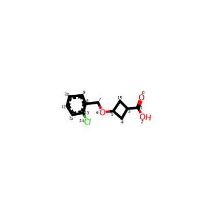 O=C(O)C1CC(OCc2ccccc2Cl)C1